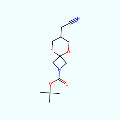 CC(C)(C)OC(=O)N1CC2(C1)OCC(CC#N)CO2